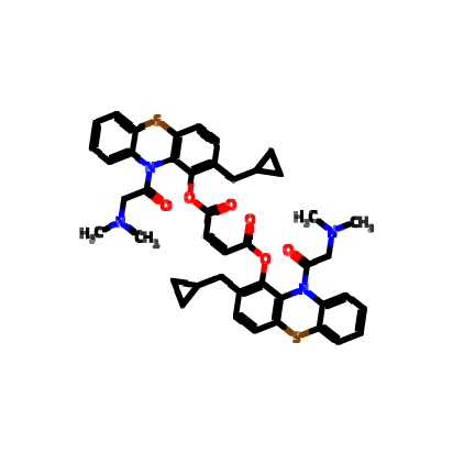 CN(C)CC(=O)N1c2ccccc2Sc2ccc(CC3CC3)c(OC(=O)/C=C\C(=O)Oc3c(CC4CC4)ccc4c3N(C(=O)CN(C)C)c3ccccc3S4)c21